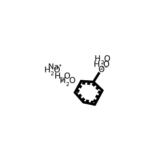 O.O.O.O.O.[Na+].[O-]c1ccccc1